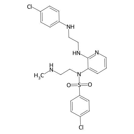 CNCCN(c1cccnc1NCCNc1ccc(Cl)cc1)S(=O)(=O)c1ccc(Cl)cc1